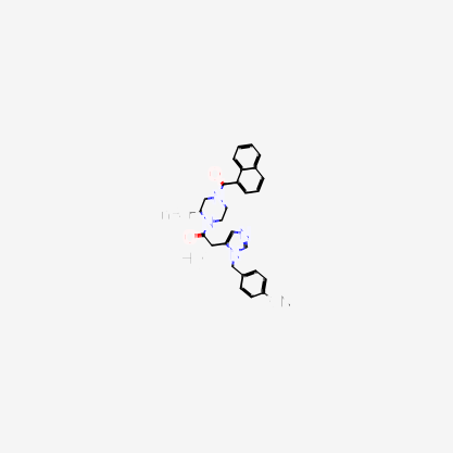 CCCC[C@H]1CN(C(=O)c2cccc3ccccc23)CCN1C(=O)[C@@H](C)c1cncn1Cc1ccc(C#N)cc1